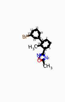 Cc1nc(-c2cccc(-c3cccc(Br)c3)c2C)no1